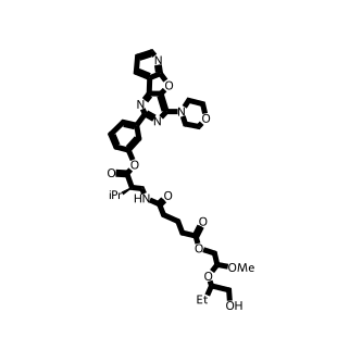 CCC(CO)OC(COC(=O)CCCC(=O)NC[C@H](C(=O)Oc1cccc(-c2nc(N3CCOCC3)c3oc4ncccc4c3n2)c1)C(C)C)OC